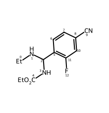 CCNC(NC(=O)OCC)c1ccc(C#N)cc1F